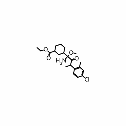 CCOC(=O)C1CCCC(C(N)(OC)C(=O)C(C)c2ccc(Cl)cc2C)C1